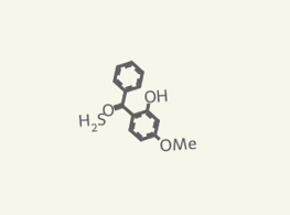 COc1ccc(C(=O)c2ccccc2)c(O)c1.S